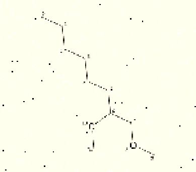 CCCCCCC(COC)OC